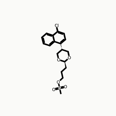 CS(=O)(=O)OCCC[C@H]1OC[C@H](c2ccc(Cl)c3ccccc32)CO1